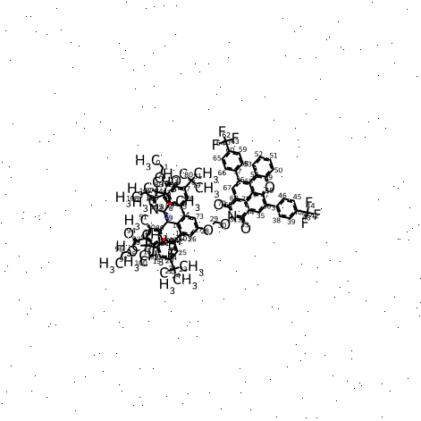 CCOC(=O)C1=C(C)/C(=C(\c2c(-c3cc(C(C)(C)C)cc(C(C)(C)C)c3)cc(OCOn3c(=O)c4cc(-c5ccc(C(F)(F)F)cc5)c5oc6ccccc6c6c(-c7ccc(C(F)(F)F)cc7)cc(c3=O)c4c56)cc2-c2cc(C(C)(C)C)cc(C(C)(C)C)c2)c2c(C)c(C(=O)OCC)c(CC)n2B(F)F)N=C1CC